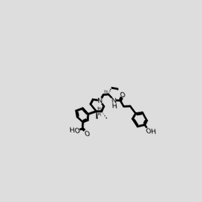 CC[C@@H](CN1CC[C@@](C)(c2cccc(C(=O)O)c2)[C@@H](C)C1)NC(=O)CCc1ccc(O)cc1